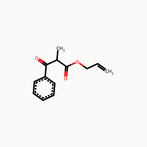 C=CCOC(=O)C(C)C(=O)c1ccccc1